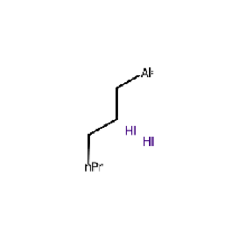 CCCCC[CH2][Al].I.I